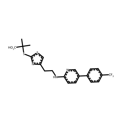 CC(C)(Sc1nc(CCNc2ccc(-c3ccc(C(F)(F)F)cc3)cn2)cs1)C(=O)O